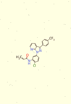 C=CC(=O)Nc1cc(-n2nc(-c3ccc(C(F)(F)F)cc3)c3cccnc32)ccc1Cl